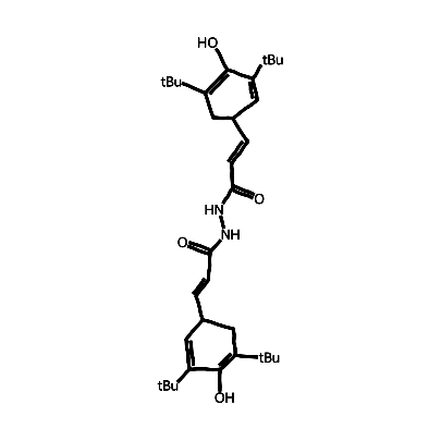 CC(C)(C)C1=CC(C=CC(=O)NNC(=O)C=CC2C=C(C(C)(C)C)C(O)=C(C(C)(C)C)C2)CC(C(C)(C)C)=C1O